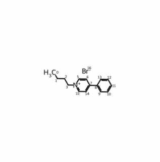 CCCC[n+]1ccc(-c2ccccc2)cc1.[Br-]